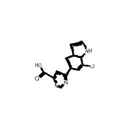 O=C(O)c1cc(C2=CC3C=CNC3C(Cl)=C2)ncn1